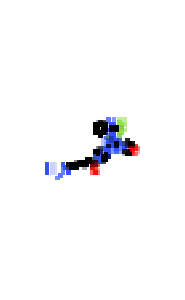 NCCCCCC(=O)N1CCN(c2nc(N3CCOCC3)nc(-n3c(C(F)F)nc4ccccc43)n2)CC1